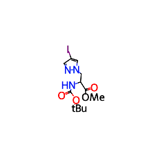 COC(=O)C(Cn1cc(I)cn1)NC(=O)OC(C)(C)C